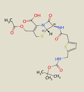 CC(=O)OCC1=C(C(=O)O)N2C(=O)[C@@H](NC(=O)Cc3ccc(CNC(=O)OC(C)(C)C)s3)[C@@H]2SC1